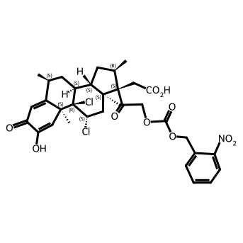 C[C@@H]1C[C@H]2[C@@H]3C[C@H](C)C4=CC(=O)C(O)=C[C@]4(C)[C@@]3(Cl)[C@@H](Cl)C[C@]2(C)[C@@]1(CC(=O)O)C(=O)COC(=O)OCc1ccccc1[N+](=O)[O-]